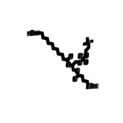 CCCCCCCCCCCCCCCCCCCCC(=O)O[C@H](COC(=O)CCCCCCCCCCCCC)COP(=O)([O-])OCC[N+](C)(C)C